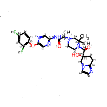 C[C@@H](C(=O)Nc1cnc(Oc2ccc(F)cc2F)cn1)N1CCN(C(=O)[C@]2(O)CCc3nccn3C2)C(C)(C)C1